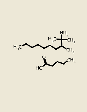 CCCCC(=O)O.CCCCCCCC(C)C(C)(C)N